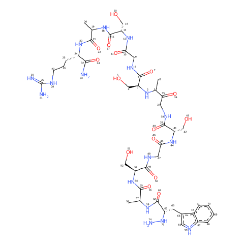 CC(N[C@@H](CO)C(=O)NCC(=O)N[C@@H](CO)C(=O)NC(C)C(=O)N[C@@H](CCCNC(=N)N)C(N)=O)C(=O)CNC(=O)[C@H](CO)NC(=O)CNC(=O)[C@H](CO)NC(=O)C(C)NC(=O)[C@H](Cc1c[nH]c2ccccc12)NN